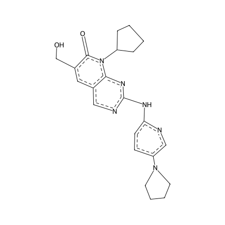 O=c1c(CO)cc2cnc(Nc3ccc(N4CCCC4)cn3)nc2n1C1CCCC1